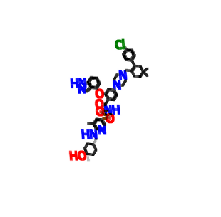 Cc1cc(S(=O)(=O)NC(=O)c2ccc(N3CCN(CC4=C(c5ccc(Cl)cc5)CC(C)(C)CC4)CC3)cc2Oc2cccc3[nH]ncc23)cnc1NC[C@H]1CC[C@](C)(O)CC1